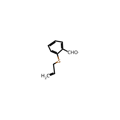 C=CCSc1ccccc1[C]=O